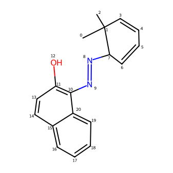 CC1(C)C=CC=CC1N=Nc1c(O)ccc2ccccc12